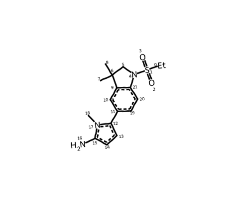 CCS(=O)(=O)N1CC(C)(C)c2cc(-c3ccc(N)n3C)ccc21